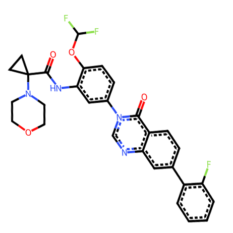 O=C(Nc1cc(-n2cnc3cc(-c4ccccc4F)ccc3c2=O)ccc1OC(F)F)C1(N2CCOCC2)CC1